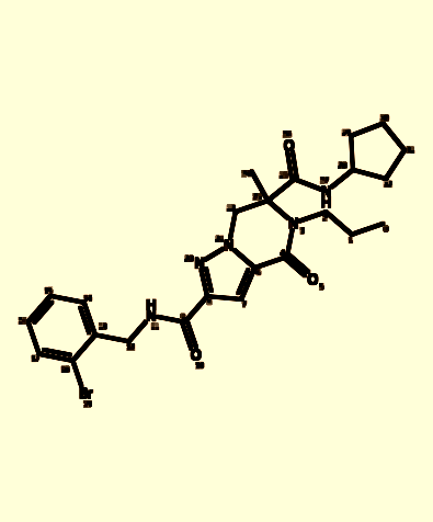 CCCN1C(=O)c2cc(C(=O)NCc3ccccc3Br)nn2CC1(C)C(=O)NC1CCCC1